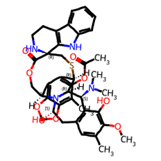 COc1c(C)cc2c(c1O)[C@H](N(C)C)[C@@H]1[C@@H]3SC[C@]4(NCCc5c4[nH]c4ccccc54)C(=O)OC[C@@H](c4c5c(c(C)c(OC(C)=O)c43)OCO5)N1[C@@H](O)C2